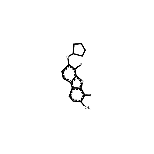 Cc1ccc2c(sc3c(F)c(OC4CCCC4)ccc32)c1F